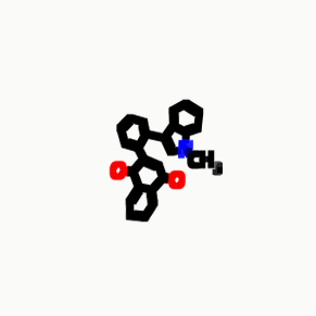 Cn1cc(-c2ccccc2C2=CC(=O)c3ccccc3C2=O)c2ccccc21